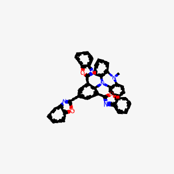 CN1c2ccccc2N(c2c(-c3nc4ccccc4o3)cc(-c3nc4ccccc4o3)cc2-c2nc3ccccc3o2)c2ccccc21